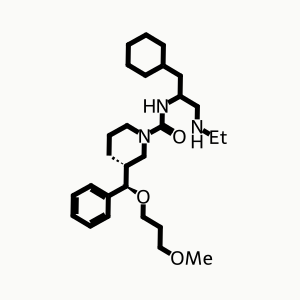 CCNCC(CC1CCCCC1)NC(=O)N1CCC[C@@H]([C@@H](OCCCOC)c2ccccc2)C1